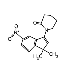 CC1(C)C=C(N2CCCCC2=O)c2cc([N+](=O)[O-])ccc21